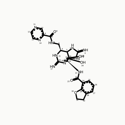 N=C1NC2[C@H](CNC(=O)c3cnccn3)NC(=N)N3C[C@H](NC(=O)c4cccc5c4OCC5)C(O)(O)C23N1